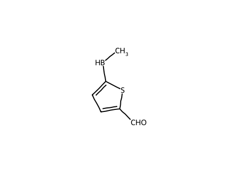 CBc1ccc(C=O)s1